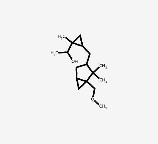 COCC12CC1CC(CC1CC1(C)C(C)O)C2(C)C